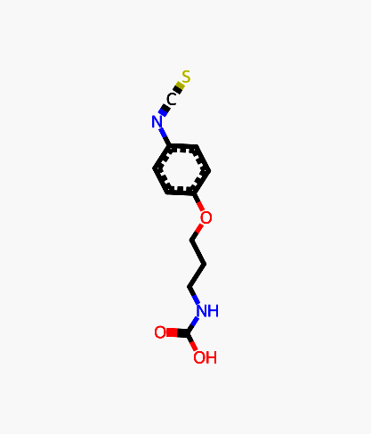 O=C(O)NCCCOc1ccc(N=C=S)cc1